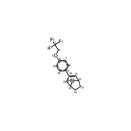 FC(F)(F)COc1ccc(C2=CC3CCC(C2)N3)cc1